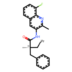 Cc1nc2c(F)cccc2cc1NC(=O)[C@](C)(Cc1ccccc1)CC(C)C